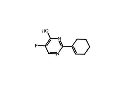 Oc1nc(C2=CCCCC2)ncc1F